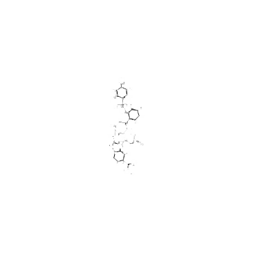 COC(=O)c1ccc2nc(CN3CCC(c4cccc5c4OC(C)(c4ccc(Cl)cc4F)O5)CC3)n(CCN(C)C)c2c1